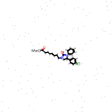 COC(=O)CCCCCCCN1CC(c2ccc(Cl)cc2)N(c2ccccc2)C1=O